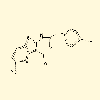 CC(C)Cn1c(NC(=O)Cc2ccc(F)cc2)nc2ccc(C(F)(F)F)nc21